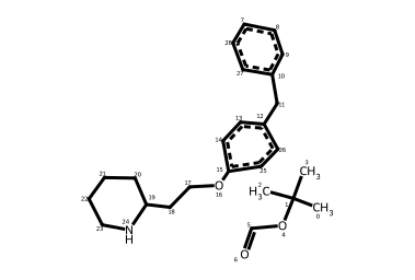 CC(C)(C)OC=O.c1ccc(Cc2ccc(OCCC3CCCCN3)cc2)cc1